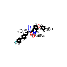 CC(C)COC(=O)N1Cc2cc(Oc3ccc(C(C)(C)C)cc3)ccc2CC1C(=O)NC(Cc1ccc(-c2ccc(F)cc2)cc1)C(=O)O